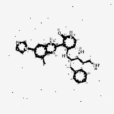 Cc1cc(-n2ccnc2)cc2[nH]c(-c3c(N[C@@H](Cc4ccccc4)[C@H](O)CCO)cc[nH]c3=O)nc12